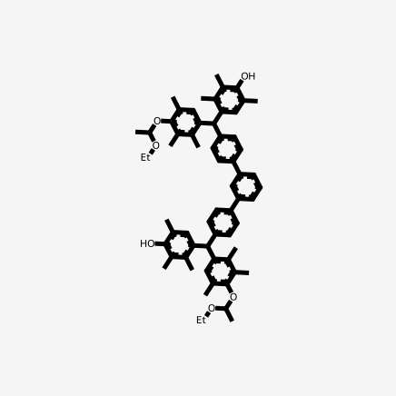 CCOC(C)Oc1c(C)cc(C(c2ccc(-c3cccc(-c4ccc(C(c5cc(C)c(O)c(C)c5C)c5cc(C)c(OC(C)OCC)c(C)c5C)cc4)c3)cc2)c2cc(C)c(O)c(C)c2C)c(C)c1C